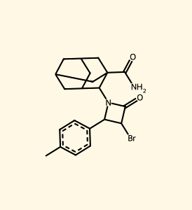 Cc1ccc(C2C(Br)C(=O)N2C2C3CC4CC(C3)CC2(C(N)=O)C4)cc1